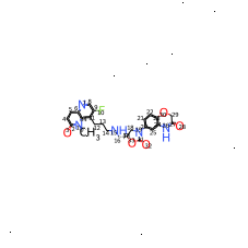 Cn1c(=O)ccc2ncc(F)c(CCCNC[C@@H]3CN(c4ccc5c(c4)NC(=O)CO5)C(=O)O3)c21